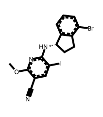 COc1nc(N[C@H]2CCc3c(Br)cccc32)c(I)cc1C#N